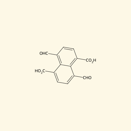 O=Cc1ccc(C(=O)O)c2c(C=O)ccc(C(=O)O)c12